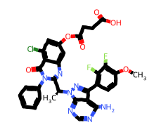 COc1ccc(-c2nn([C@@H](C)c3nc4cc(OC(=O)CCC(=O)O)cc(Cl)c4c(=O)n3-c3ccccc3)c3ncnc(N)c23)c(F)c1F